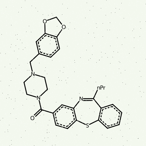 CCCC1=Nc2cc(C(=O)N3CCN(Cc4ccc5c(c4)OCO5)CC3)ccc2Sc2ccccc21